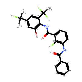 O=C(Nc1cccc(C(=O)Nc2c(Br)cc(C(F)(C(F)(F)F)C(F)(F)F)cc2C(F)(F)C(F)(F)F)c1F)c1ccccc1